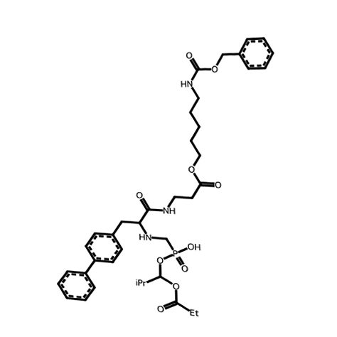 CCC(=O)OC(OP(=O)(O)CNC(Cc1ccc(-c2ccccc2)cc1)C(=O)NCCC(=O)OCCCCCNC(=O)OCc1ccccc1)C(C)C